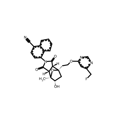 C[C@]12O[C@](CCOc3cc(CF)ncn3)(C[C@@H]1O)[C@H]1C(=O)N(c3ccc(C#N)c4ccccc34)C(=O)[C@H]12